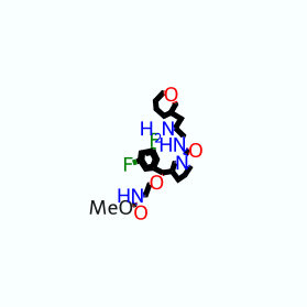 COC(=O)NCCOC(c1cc(F)cc(F)c1)C1CCCN(C(=O)NCC(N)CC2CCCCOC2)C1